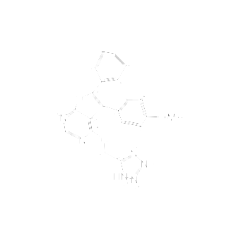 COc1ccc(-c2c(-c3ccccc3)oc3ncnc(OCc4nnn[nH]4)c23)cc1